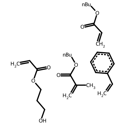 C=C(C)C(=O)OCCCC.C=CC(=O)OCCCC.C=CC(=O)OCCCO.C=Cc1ccccc1